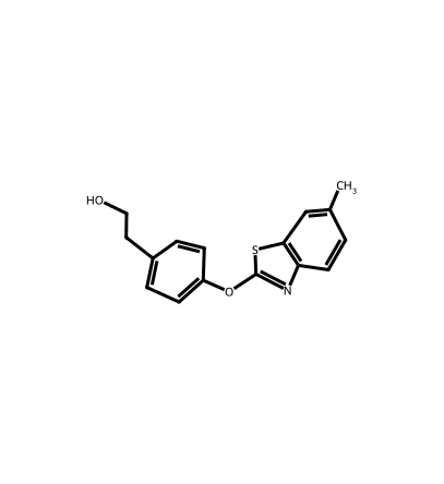 Cc1ccc2nc(Oc3ccc(CCO)cc3)sc2c1